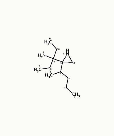 CCCC(C)C1(C(N)(CC)CC)CN1